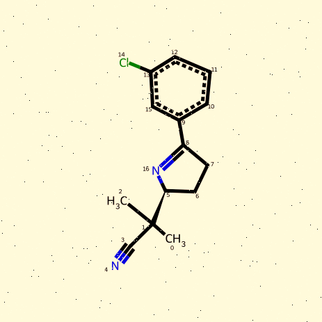 CC(C)(C#N)[C@@H]1CCC(c2cccc(Cl)c2)=N1